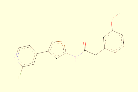 COc1cccc(CC(=O)Nc2cc(-c3ccnc(F)c3)cs2)c1